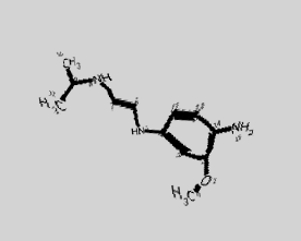 COc1cc(NCCNC(C)C)ccc1N